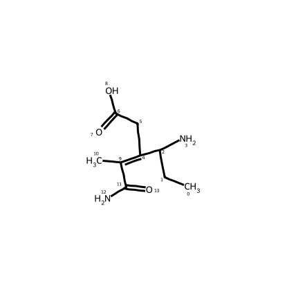 CCC(N)C(CC(=O)O)=C(C)C(N)=O